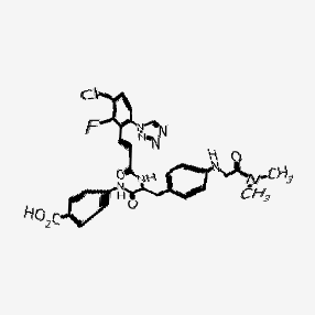 CN(C)C(=O)CNc1ccc(CC(NC(=O)/C=C/c2c(-n3cnnn3)ccc(Cl)c2F)C(=O)Nc2ccc(C(=O)O)cc2)cc1